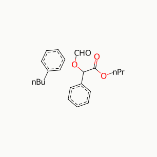 CCCCc1ccccc1.CCCOC(=O)C(OC=O)c1ccccc1